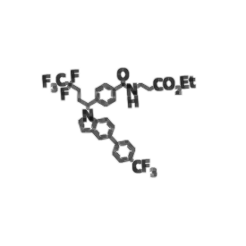 CCOC(=O)CCNC(=O)c1ccc(C(CCC(F)(F)C(F)(F)F)n2ccc3cc(-c4ccc(C(F)(F)F)cc4)ccc32)cc1